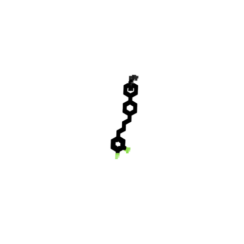 CCC[SiH]1CCC(C2CCC(CCCCc3ccc(F)c(F)c3)CC2)CC1